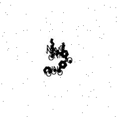 CCCc1nn(C)c2c(=O)[nH]c(-c3cc(C(OC)c4ccc(C(=O)NOC5CCCCO5)cc4)ccc3OCC)nc12